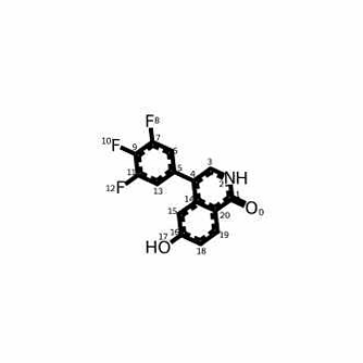 O=c1[nH]cc(-c2cc(F)c(F)c(F)c2)c2cc(O)ccc12